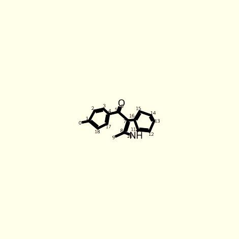 Cc1ccc(C(=O)c2c(C)[nH]c3ccccc23)cc1